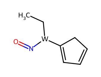 C[CH2][W]([N]=O)[C]1=CC=CC1